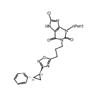 CCCCCn1c(=O)n(CCCc2nc([C@H]3C[C@@H]3c3ccccc3)no2)c(=O)c2[nH]c(Cl)nc21